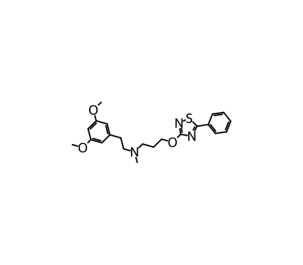 COc1cc(CCN(C)CCCOc2nsc(-c3ccccc3)n2)cc(OC)c1